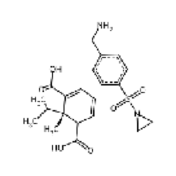 CC(C)[C@]1(C)C(C(=O)O)=CC=CC1C(=O)O.NCc1ccc(S(=O)(=O)N2CC2)cc1